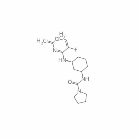 C=C(Cl)/N=C(N[C@H]1CCC[C@@H](NC(=O)N2CCCC2)C1)\C(F)=C/C